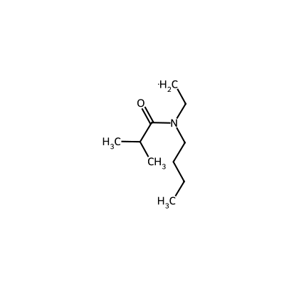 [CH2]CN(CCCC)C(=O)C(C)C